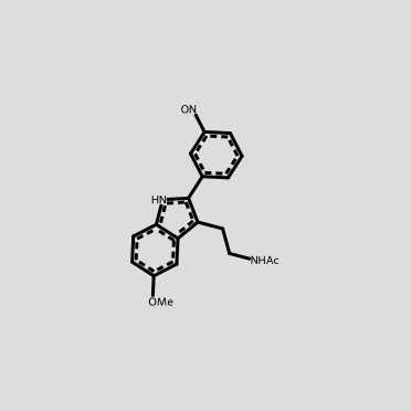 COc1ccc2[nH]c(-c3cccc(N=O)c3)c(CCNC(C)=O)c2c1